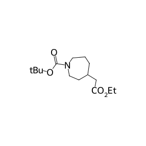 CCOC(=O)CC1CCCN(C(=O)OC(C)(C)C)CC1